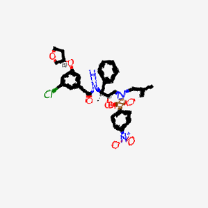 CC(C)CN(C[C@@H](O)[C@@](C)(NC(=O)c1cc(Cl)cc(O[C@H]2CCOC2)c1)c1ccccc1)S(=O)(=O)c1ccc([N+](=O)[O-])cc1